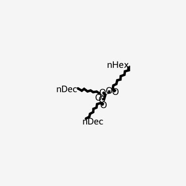 CCCCCC/C=C\CCCCCCCC(=O)OC[C@H](COC(=O)CCCCCCCCCCCCCCCCC)OC(=O)CCCCCCCCCCCCCCCCC